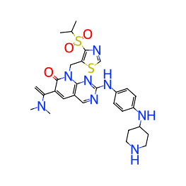 C=C(c1cc2cnc(Nc3ccc(NC4CCNCC4)cc3)nc2n(Cc2scnc2S(=O)(=O)C(C)C)c1=O)N(C)C